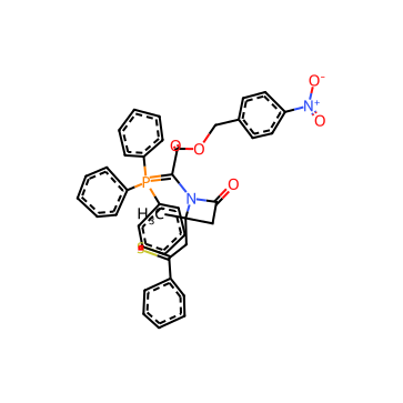 CC1(CC(=S)c2ccccc2)CC(=O)N1C(C(=O)OCc1ccc([N+](=O)[O-])cc1)=P(c1ccccc1)(c1ccccc1)c1ccccc1